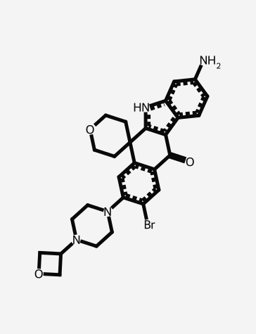 Nc1ccc2c3c([nH]c2c1)C1(CCOCC1)c1cc(N2CCN(C4COC4)CC2)c(Br)cc1C3=O